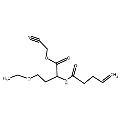 C=CCCC(=O)NC(CCOCC)C(=O)OCC#N